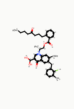 CCCCCCCCCCCCCC(=O)CCCc1ccccc1C(=O)OC[C@@H](C(C)C)n1cc(C(O)O)c(=O)c2cc(Cc3cccc(C)c3F)c(OC)cc21